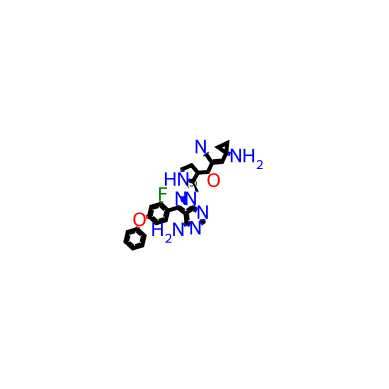 N#CC(=CC1(N)CC1)C(=O)C1CCN[C@@H]1Cn1nc(-c2ccc(Oc3ccccc3)cc2F)c2c(N)ncnc21